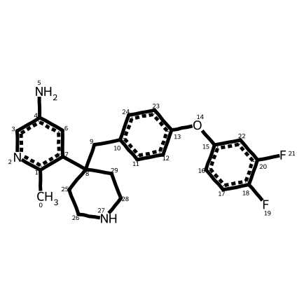 Cc1ncc(N)cc1C1(Cc2ccc(Oc3ccc(F)c(F)c3)cc2)CCNCC1